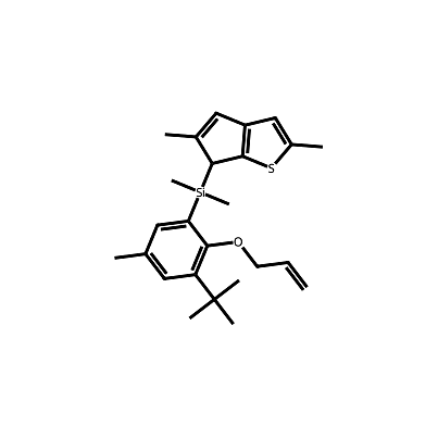 C=CCOc1c(C(C)(C)C)cc(C)cc1[Si](C)(C)C1C(C)=Cc2cc(C)sc21